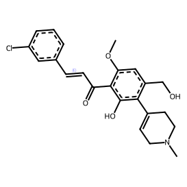 COc1cc(CO)c(C2=CCN(C)CC2)c(O)c1C(=O)/C=C/c1cccc(Cl)c1